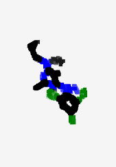 CCCN(CC1CC1)c1nc(C)nc(Nc2c(Cl)cc(Cl)cc2Cl)c1C